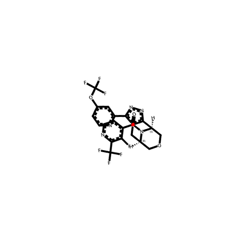 O=C(c1ccnc(C(F)(F)F)c1F)N1[C@H]2COC[C@@H]1c1nnc(-c3cc(OC(F)(F)F)ccn3)n1C2